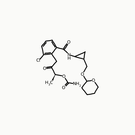 C[C@H](OC(N)=O)C(=O)Cc1c(Cl)cccc1C(=O)NC1CC1COC1CCCCO1